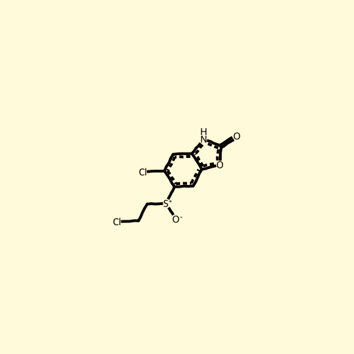 O=c1[nH]c2cc(Cl)c([S+]([O-])CCCl)cc2o1